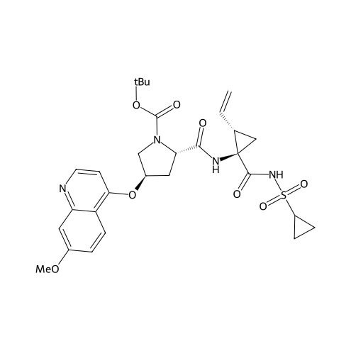 C=C[C@@H]1C[C@]1(NC(=O)[C@@H]1C[C@@H](Oc2ccnc3cc(OC)ccc23)CN1C(=O)OC(C)(C)C)C(=O)NS(=O)(=O)C1CC1